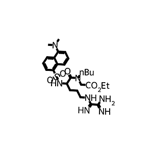 CCCCN(CC(=O)OCC)C(=O)C(CCCNC(=N)C(=N)N)NS(=O)(=O)c1cccc2c(N(C)C)cccc12